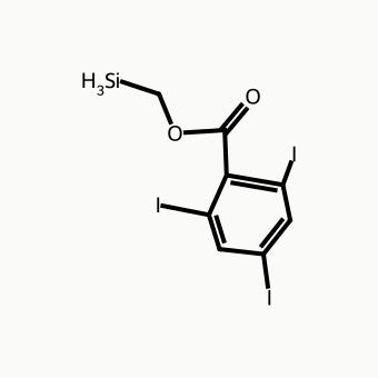 O=C(OC[SiH3])c1c(I)cc(I)cc1I